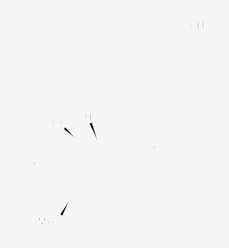 CO[C@@H]1OC2COC(c3ccc(C)cc3)O[C@H]2[C@H](O)C1O